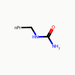 CCCCNC(N)=O